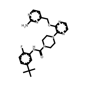 CC(C)(C)c1ccc(F)c(NC(=O)N2CCN(c3nccnc3OCc3ccnc(N)n3)CC2)c1